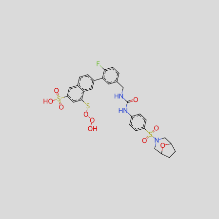 O=C(NCc1ccc(F)c(-c2ccc3cc(S(=O)(=O)O)cc(SOOO)c3c2)c1)Nc1ccc(S(=O)(=O)N2CC3CCC(C2)O3)cc1